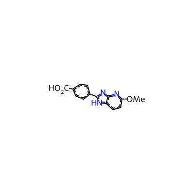 COc1ccc2[nH]c(-c3ccc(C(=O)O)cc3)nc2n1